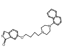 O=C1N=Cc2ccc(OCCCCN3CCN(c4cccc5ccccc45)CC3)cc21